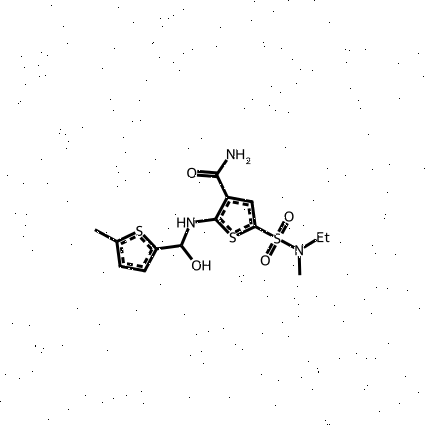 CCN(C)S(=O)(=O)c1cc(C(N)=O)c(NC(O)c2ccc(C)s2)s1